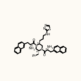 CC(C)C[C@@H]1CN(C(=O)[C@H](N)Cc2ccc3ccccc3c2)[C@@H](CCCNc2nncs2)CN1C(=O)[C@H](N)Cc1ccc2ccccc2c1